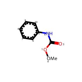 COOC(=O)Nc1ccccc1